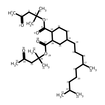 CC(=O)CC(C)(C)OC(=O)C1CCC(CCCC(C)CCCC(C)C)CC1C(=O)OC(C)(C)CC(C)=O